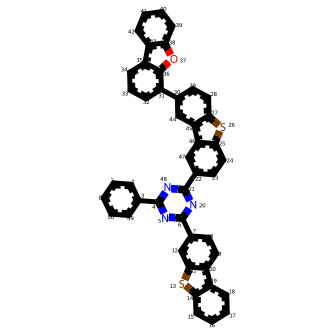 c1ccc(-c2nc(-c3ccc4c(c3)sc3ccccc34)nc(-c3ccc4sc5ccc(-c6cccc7c6oc6ccccc67)cc5c4c3)n2)cc1